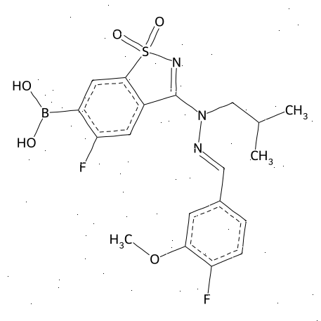 COc1cc(/C=N/N(CC(C)C)C2=NS(=O)(=O)c3cc(B(O)O)c(F)cc32)ccc1F